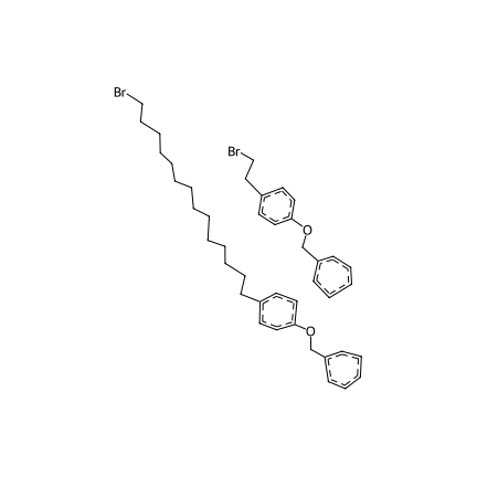 BrCCCCCCCCCCCCCCc1ccc(OCc2ccccc2)cc1.BrCCc1ccc(OCc2ccccc2)cc1